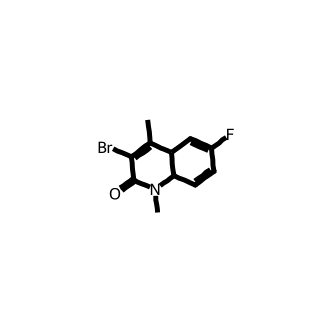 CC1=C(Br)C(=O)N(C)C2C=CC(F)=CC12